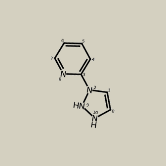 C1=CN(c2ccccn2)NN1